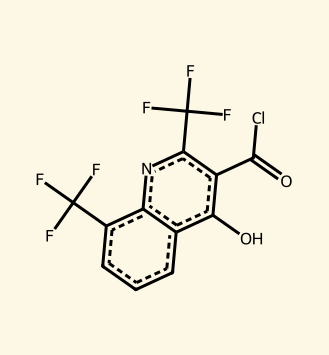 O=C(Cl)c1c(C(F)(F)F)nc2c(C(F)(F)F)cccc2c1O